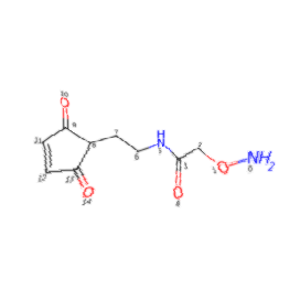 NOCC(=O)NCCC1C(=O)C=CC1=O